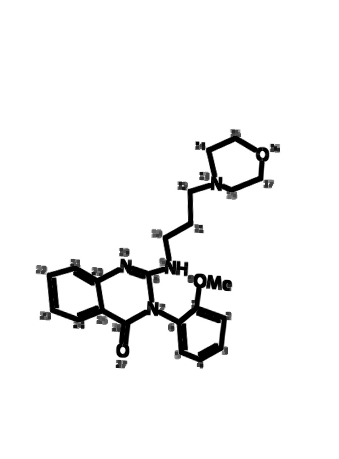 COc1ccccc1-n1c(NCCCN2CCOCC2)nc2ccccc2c1=O